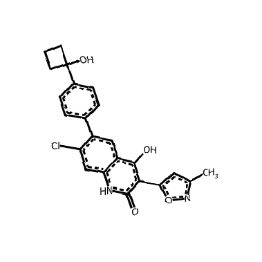 Cc1cc(-c2c(O)c3cc(-c4ccc(C5(O)CCC5)cc4)c(Cl)cc3[nH]c2=O)on1